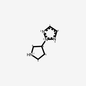 c1cnn(C2CCNC2)n1